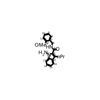 CCCc1c(C(=O)NCc2ccccc2OC)n(N)c2ccccc12